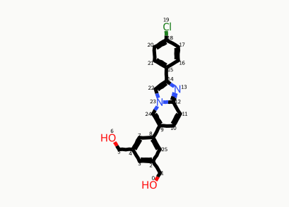 OCc1cc(CO)cc(-c2ccc3nc(-c4ccc(Cl)cc4)cn3c2)c1